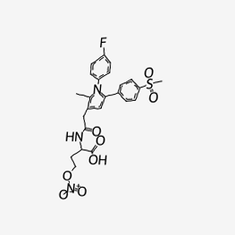 Cc1c(CC(=O)NC(CCO[N+](=O)[O-])C(=O)O)cc(-c2ccc(S(C)(=O)=O)cc2)n1-c1ccc(F)cc1